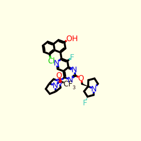 O=C(N1C2CCC1CN(c1nc(OC[C@@]34CCCN3C[C@H](F)C4)nc3c(F)c(-c4cc(O)cc5cccc(Cl)c45)ncc13)C2)C(F)(F)F